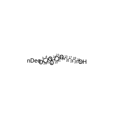 CCCCCCCCCCOc1ccc(OC(=O)c2ccc(OCCCCCCCCO)cc2)cc1